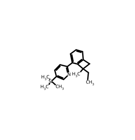 CCC1(C)Cc2cccc(-c3ccc([Si](C)(C)C)cn3)c21